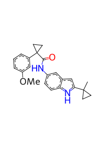 COc1cccc(C2(C(=O)Nc3ccc4[nH]c(C5(C)CC5)cc4c3)CC2)c1